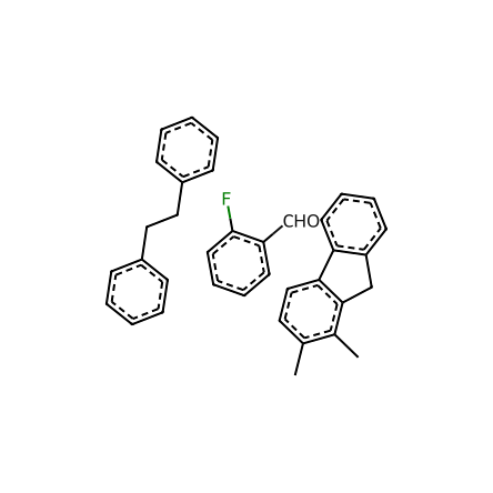 Cc1ccc2c(c1C)Cc1ccccc1-2.O=Cc1ccccc1F.c1ccc(CCc2ccccc2)cc1